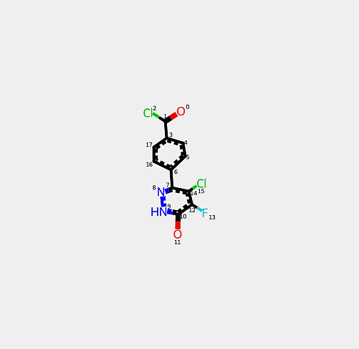 O=C(Cl)c1ccc(-c2n[nH]c(=O)c(F)c2Cl)cc1